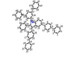 c1ccc(-c2ccc(-c3ccc4c(c3)c(-c3ccc(-c5ccccc5)cc3)c(-c3ccccc3)n4-c3cc(-c4ccccc4)cc(-c4ccccc4)c3)cc2)cc1